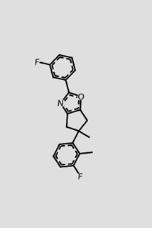 Cc1c(F)cccc1C1(C)Cc2nc(-c3cccc(F)c3)oc2C1